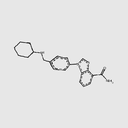 NC(=O)c1cccc2c1ncn2-c1ccc(CNC2CCCCC2)cc1